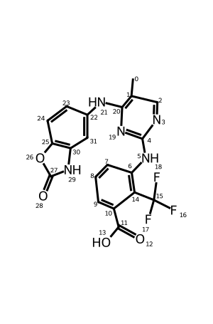 Cc1cnc(Nc2cccc(C(=O)O)c2C(F)(F)F)nc1Nc1ccc2oc(=O)[nH]c2c1